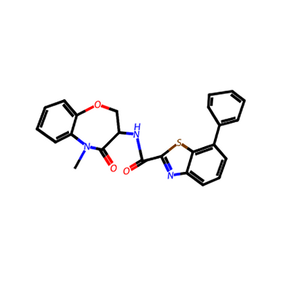 CN1C(=O)C(NC(=O)c2nc3cccc(-c4ccccc4)c3s2)COc2ccccc21